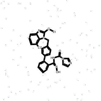 CCOc1nc2cccc(C(=O)O)c2n1Cc1ccc(-c2ccccc2C(=NO)NC(=O)n2ccnc2)cc1